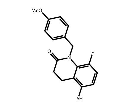 COc1ccc(CN2C(=O)CCc3c(S)ccc(F)c32)cc1